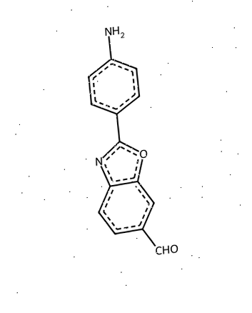 Nc1ccc(-c2nc3ccc(C=O)cc3o2)cc1